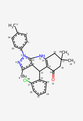 Cc1ccc(-n2nc(C(C)(C)C)c3c2NC2=C(C(=O)CC(C)(C)C2)C3c2ccccc2Cl)cc1